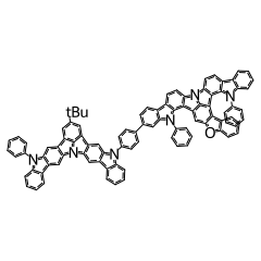 CC(C)(C)c1cc2c3cc4c(cc3n3c5cc6c7ccccc7n(-c7ccc(-c8ccc9c%10ccc%11c(c%12cc%13oc%14ccccc%14c%13c%13c%14c%15c(ccc%14n%11c%12%13)c%11ccccc%11n%15-c%11ccccc%11)c%10n(-c%10ccccc%10)c9c8)cc7)c6cc5c(c1)c23)c1ccccc1n4-c1ccccc1